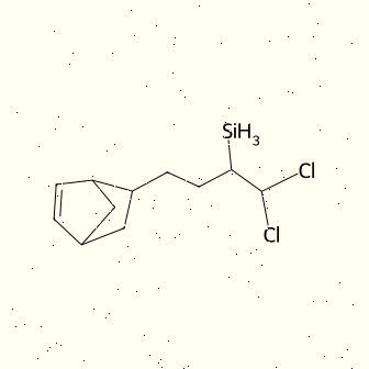 [SiH3]C(CCC1CC2C=CC1C2)C(Cl)Cl